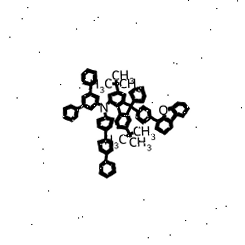 CC(C)(C)c1ccc2c(c1)C(c1ccccc1)(c1ccc(-c3cccc4c3oc3ccccc34)cc1)c1cc(C(C)(C)C)cc(N(c3ccc(-c4ccc(-c5ccccc5)cc4)cc3)c3cc(-c4ccccc4)cc(-c4ccccc4)c3)c1-2